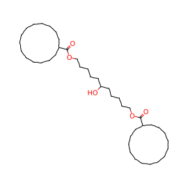 O=C(OCCCCCC(O)CCCCCOC(=O)C1CCCCCCCCCCCCCC1)C1CCCCCCCCCCCCCC1